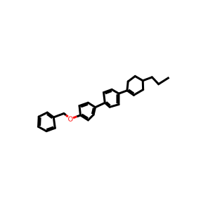 CCCC1CC=C(c2ccc(-c3ccc(OCc4ccccc4)cc3)cc2)CC1